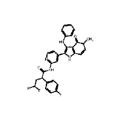 CC1C=Cc2[nH]c(-c3ccnc(NC(=O)C(CC(F)F)c4ccc(F)cc4)c3)c(Nc3ccccc3)c2C1=O